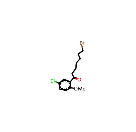 COc1ccc(Cl)cc1C(=O)CCCCCCBr